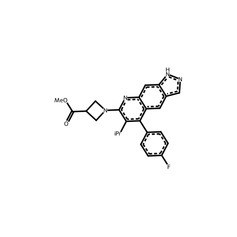 COC(=O)C1CN(c2nc3cc4[nH]ncc4cc3c(-c3ccc(F)cc3)c2C(C)C)C1